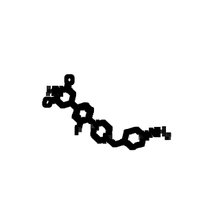 NN1CCC(CN2CCN(c3ccc(C4CC(=O)NC(=O)C4)cc3F)CC2)CC1